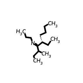 CCCC[C@H](CC)/C(=N\CCC)C(C)CC